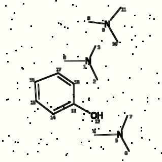 CN(C)C.CN(C)C.CN(C)C.Oc1ccccc1